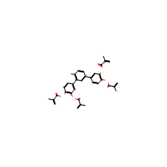 C=C(C)C(=O)Oc1ccc(-c2ccc(F)c(-c3ccc(OC(=O)C(=C)C)c(OC(=O)C(=C)C)c3)c2)cc1OC(=O)C(=C)C